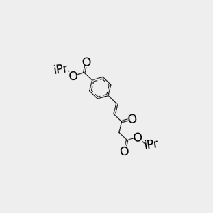 CC(C)OC(=O)CC(=O)C=Cc1ccc(C(=O)OC(C)C)cc1